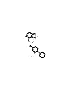 CCOc1cc(C(=O)N(C)Cc2c(F)ccc3cn[nH]c23)ccc1-c1ccccc1